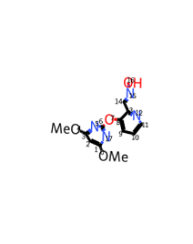 COc1cc(OC)nc(Oc2cccnc2/C=N/O)n1